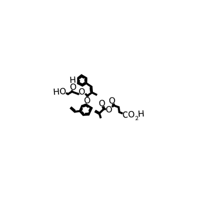 C=C(C)C(=O)OC(=O)CCC(=O)O.C=Cc1ccccc1.CC(=Cc1ccccc1)C(=O)OCC(O)CO